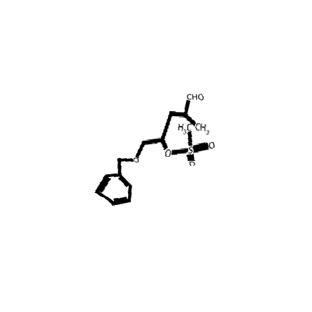 CC(C=O)CC(COCc1ccccc1)OS(C)(=O)=O